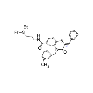 CCN(CC)CCCNC(=O)c1ccc2c(c1)N(Cc1cccc(C)c1)C(=O)/C(=C/c1ccccc1)S2